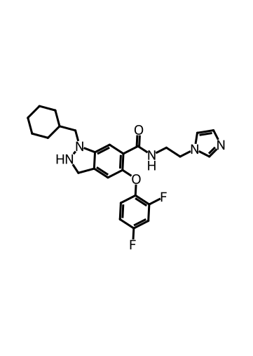 O=C(NCCn1ccnc1)c1cc2c(cc1Oc1ccc(F)cc1F)CNN2CC1CCCCC1